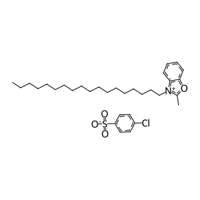 CCCCCCCCCCCCCCCCCC[n+]1c(C)oc2ccccc21.O=S(=O)([O-])c1ccc(Cl)cc1